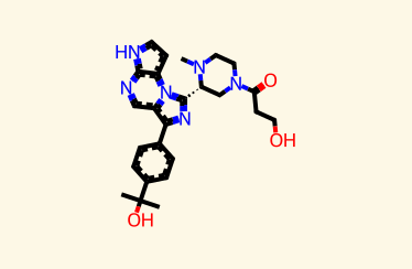 CN1CCN(C(=O)CCO)C[C@@H]1c1nc(-c2ccc(C(C)(C)O)cc2)c2cnc3[nH]ccc3n12